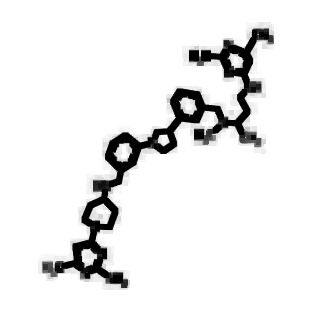 Cc1cc(NCCC(C)N(C)Cc2cccc(C3CCN(c4cccc(CNC5CCN(c6cc(C)nc(N)n6)CC5)c4)C3)c2)nc(N)n1